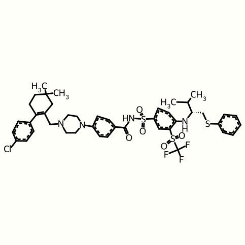 CC(C)[C@H](CSc1ccccc1)Nc1ccc(S(=O)(=O)NC(=O)c2ccc(N3CCN(CC4=C(c5ccc(Cl)cc5)CCC(C)(C)C4)CC3)cc2)cc1S(=O)(=O)C(F)(F)F